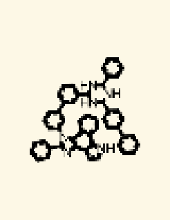 c1ccc(-c2ccc(C3NC(c4ccccc4)NC(c4cccc(-c5cccc(-n6c(-c7ccccc7)nc7c8cc[nH]c8c8ccccc8c76)c5)c4)N3)cc2)cc1